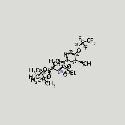 C#CC1CC(C(=C)/C(=C\C(=C)B2OC(C)(C)C(C)(C)O2)S(=O)(=O)CC)=NC=C1OCC(F)(F)C(F)(F)F